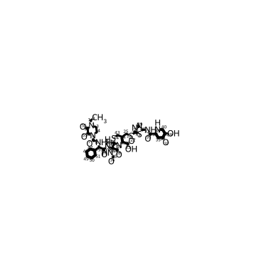 CCN1CCN(C(=O)NC(C(=O)N[C@]2(NC=O)C(=O)N3C(C(=O)O)=C(CSc4nnc(NC(=O)c5cc(=O)c(O)c[nH]5)s4)CS[C@H]32)c2ccccc2)C(=O)C1=O